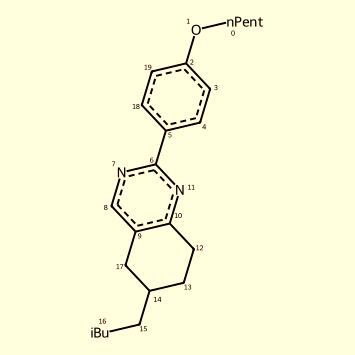 CCCCCOc1ccc(-c2ncc3c(n2)CCC(CC(C)CC)C3)cc1